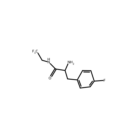 NC(Cc1ccc(F)cc1)C(=O)NCC(F)(F)F